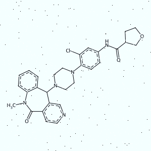 CN1C(=O)c2ccncc2C(N2CCN(c3ccc(NC(=O)C4CCOC4)cc3Cl)CC2)c2ccccc21